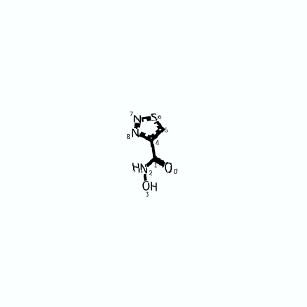 O=C(NO)c1csnn1